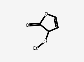 CCOC1C=COC1=O